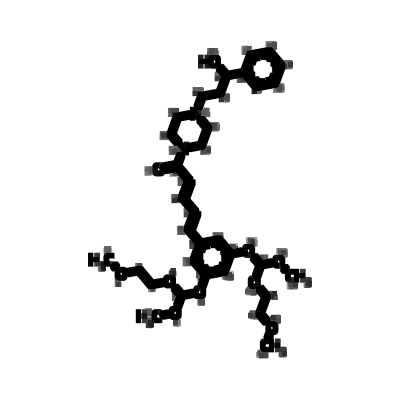 COCCOC(OC)Oc1cc(C=CC=CC(=O)N2CCN(CCC(O)c3ccccc3)CC2)cc(OC(OC)OCCOC)c1